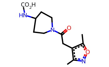 Cc1noc(C)c1CC(=O)N1CCC(NC(=O)O)CC1